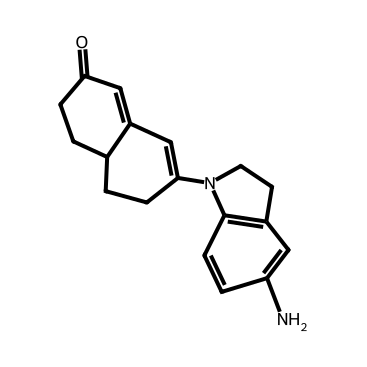 Nc1ccc2c(c1)CCN2C1=CC2=CC(=O)CCC2CC1